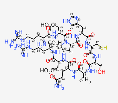 C[C@H](NC(=O)[C@H](CO)NC(=O)[C@H](CS)NC(=O)[C@H](Cc1c[nH]cn1)NC(=O)[C@@H]1CCCN1C(=O)[C@H](CC(=O)O)NC(=O)[C@@H](N)CCCNC(=N)N)C(=O)N[C@@H](CCC(N)=O)C(=O)N[C@@H](CC(=O)O)C(=O)N[C@@H](CCCNC(=N)N)C(=O)O